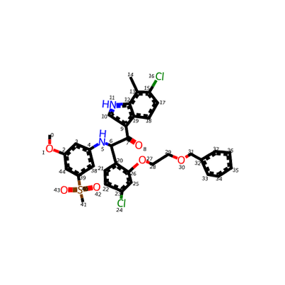 COc1cc(NC(C(=O)c2c[nH]c3c(C)c(Cl)ccc23)c2ccc(Cl)cc2OCCOCc2ccccc2)cc(S(C)(=O)=O)c1